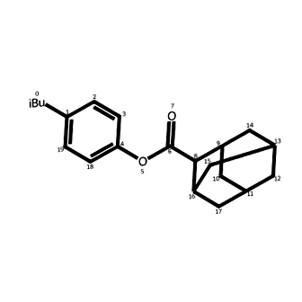 CCC(C)c1ccc(OC(=O)C2C3CC4CC(C3)CC2C4)cc1